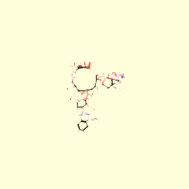 CCNC[C@]1(O)[C@H](C)O[C@@H](O[C@H]2[C@H](C)[C@@H](O[C@@H]3O[C@H](C)C[C@H](N(C)C(=O)N(C)c4ccccc4)[C@H]3O)[C@](C)(O)C[C@@H](C)CN[C@H](C)[C@@H](O)[C@](C)(O)[C@@H](CC)OC(=O)[C@@H]2C)C[C@@]1(C)OC